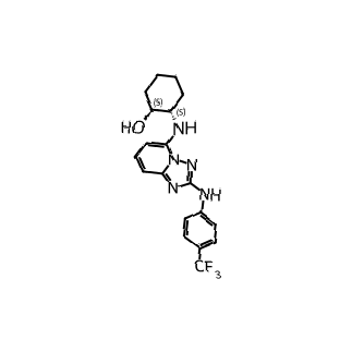 O[C@H]1CCCC[C@@H]1Nc1cccc2nc(Nc3ccc(C(F)(F)F)cc3)nn12